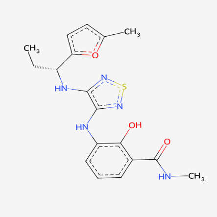 CC[C@@H](Nc1nsnc1Nc1cccc(C(=O)NC)c1O)c1ccc(C)o1